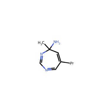 CC(C)C1=CC(C)(N)N=CN=C1